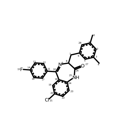 Cc1cc(C)cc(CC2N=C(c3ccc(F)cc3)c3cc(Cl)ccc3NC2=O)c1